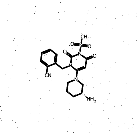 CS(=O)(=O)n1c(=O)cc(N2CCC[C@@H](N)C2)n(Cc2ccccc2C#N)c1=O